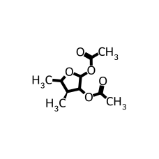 CC(=O)OC1OC(C)[C@H](C)C1OC(C)=O